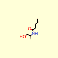 C=CCCC(=O)N[C@@H](C)CO